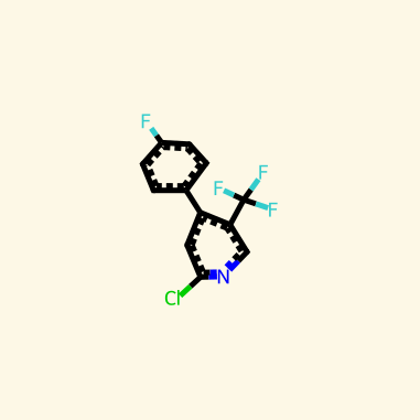 Fc1ccc(-c2cc(Cl)ncc2C(F)(F)F)cc1